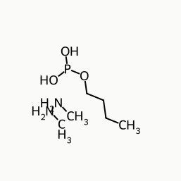 CCCCOP(O)O.CN.CN